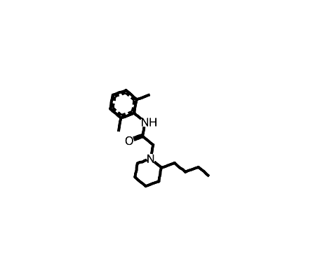 CCCCC1CCCCN1CC(=O)Nc1c(C)cccc1C